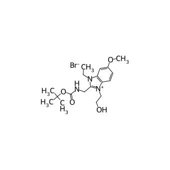 CCn1c(CNC(=O)OC(C)(C)C)[n+](CCO)c2ccc(OC)cc21.[Br-]